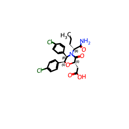 CCC[C@H](C(N)=O)N1C(=O)[C@H](CC(=O)O)O[C@@H](c2ccc(Cl)cc2)[C@H]1c1ccc(Cl)cc1